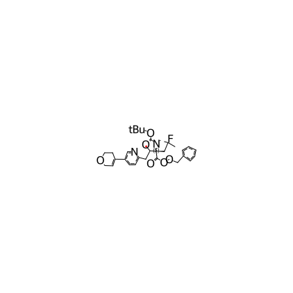 CC(Cc1ccc(C2=CCOCC2)cn1)[C@@](CC(C)(C)F)(C(=O)OOCc1ccccc1)N(C)C(=O)OC(C)(C)C